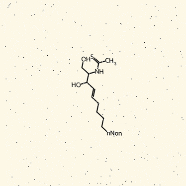 CCCCCCCCCCCCCC=CC(O)C(CO)NC(C)=S